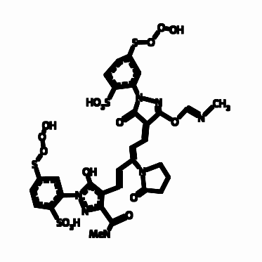 C/N=C/OC1=NN(c2cc(SOOO)ccc2S(=O)(=O)O)C(=O)/C1=C\C=C(C=Cc1c(C(=O)NC)nn(-c2cc(SOOO)ccc2S(=O)(=O)O)c1O)N1CCCC1=O